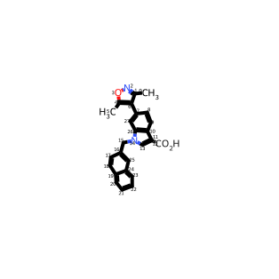 Cc1noc(C)c1-c1ccc2c(C(=O)O)cn(Cc3ccc4ccccc4c3)c2c1